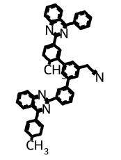 CC1C=CC(c2nc(-c3cccc(-c4cc(CC#N)cc(C5=CC(c6nc(-c7ccccc7)c7ccccc7n6)=CCC5C)c4)c3)nc3ccccc23)=CC1